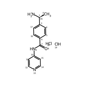 C[C@H](N)c1ccc(C(=O)Nc2ccncc2)cc1.Cl.Cl